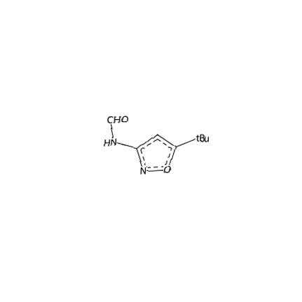 CC(C)(C)c1cc(NC=O)no1